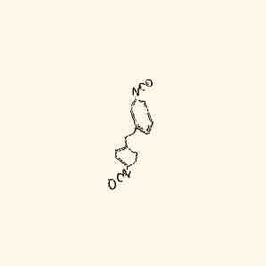 O=C=NC1=CC=C(Cc2cccc(N=C=O)c2)CC1